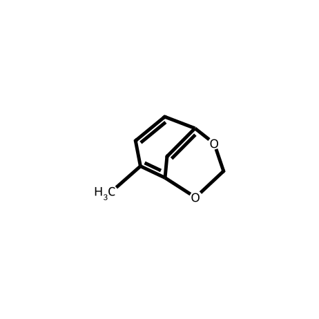 Cc1ccc2cc1OCO2